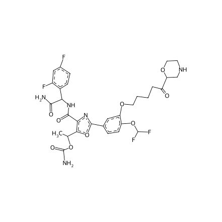 CC(OC(N)=O)c1oc(-c2ccc(OC(F)F)c(OCCCCC(=O)C3CNCCO3)c2)nc1C(=O)NC(C(N)=O)c1ccc(F)cc1F